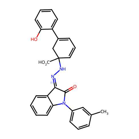 Cc1cccc(N2C(=O)/C(=N\NC3(C(=O)O)C=CC=C(c4ccccc4O)C3)c3ccccc32)c1